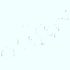 Cl.FC(F)(F)c1c(N2CCC(c3ccccc3)CC2)ccn2c(CC3CC3)nnc12